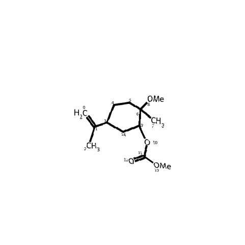 C=C(C)C1CCC(C)(OC)C(OC(=O)OC)C1